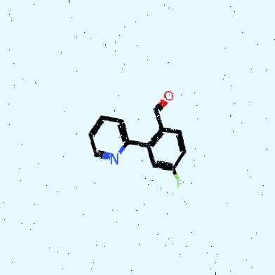 O=Cc1ccc(F)cc1-c1ccccn1